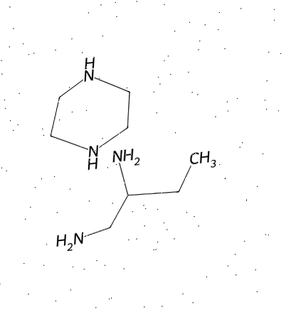 C1CNCCN1.CCC(N)CN